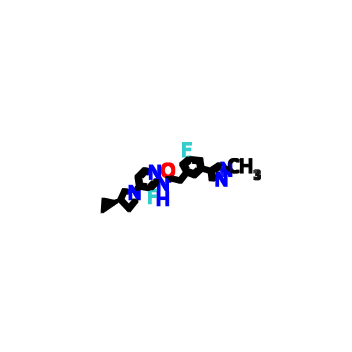 Cn1cc(-c2cc(F)cc(CC(=O)Nc3nccc(N4CC[C@@H](C5CC5)C4)c3F)c2)cn1